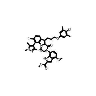 COC(=O)c1cc2c(OC)ccc(N3C[C@@H](C)n4c(c(CCCOc5cc(C)c(Cl)c(C)c5)c5ccc(Cl)c(-c6c(C)nn(C)c6C)c54)C3=O)c2[nH]1